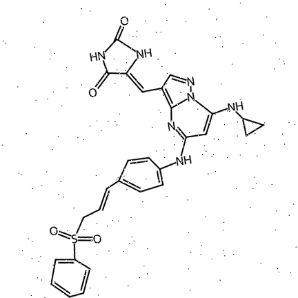 O=C1NC(=O)/C(=C/c2cnn3c(NC4CC4)cc(Nc4ccc(/C=C/CS(=O)(=O)c5ccccc5)cc4)nc23)N1